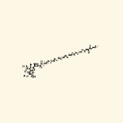 CCCCNC(=O)CCOCCOCCOCCOCCOCCOCCOCCOCCNC(=O)CCC(N)C(=O)NC(C(=O)NC(C)C(=O)O)C(C)C